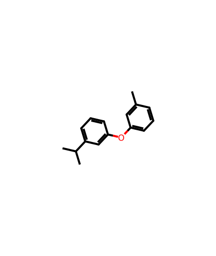 Cc1cccc(Oc2cccc(C(C)C)c2)c1